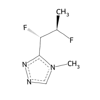 C[C@@H](F)[C@@H](F)c1nncn1C